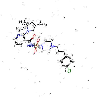 C[C@@H]1CN(c2ncccc2C(=O)NS(=O)(=O)N2CCN(CCCc3ccc(Cl)cc3)CC2)C(C)(C)C1